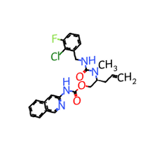 C=CC[C@@H](COC(=O)Nc1cc2ccccc2cn1)N(C)C(=O)NCc1cccc(F)c1Cl